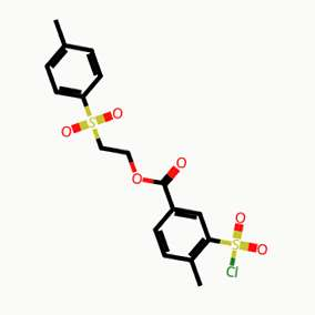 Cc1ccc(S(=O)(=O)CCOC(=O)c2ccc(C)c(S(=O)(=O)Cl)c2)cc1